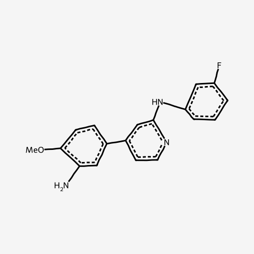 COc1ccc(-c2ccnc(Nc3cccc(F)c3)c2)cc1N